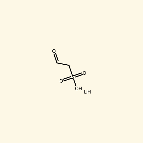 O=CCS(=O)(=O)O.[LiH]